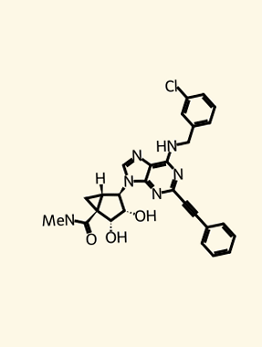 CNC(=O)[C@@]12C[C@@H]1[C@@H](n1cnc3c(NCc4cccc(Cl)c4)nc(C#Cc4ccccc4)nc31)[C@H](O)[C@@H]2O